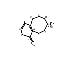 O=C1CC=CC2=C1CCC(Br)CCC2